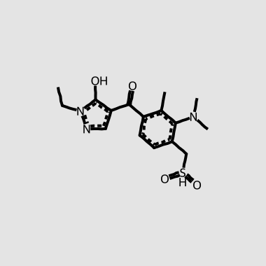 CCn1ncc(C(=O)c2ccc(C[SH](=O)=O)c(N(C)C)c2C)c1O